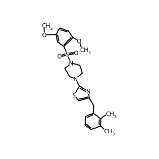 COc1ccc(OC)c(S(=O)(=O)N2CCN(c3nc(Cc4cccc(C)c4C)cs3)CC2)c1